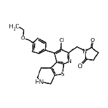 CCOc1ccc(-c2c(Cl)c(CN3C(=O)CCC3=O)nc3sc4c(c23)CCNC4)cc1